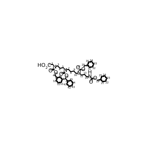 O=C(O)CN(CCCN(CCCCN(CCCNC(=O)OCc1ccccc1)C(=O)OCc1ccccc1)C(=O)OCc1ccccc1)C(=O)OCc1ccccc1